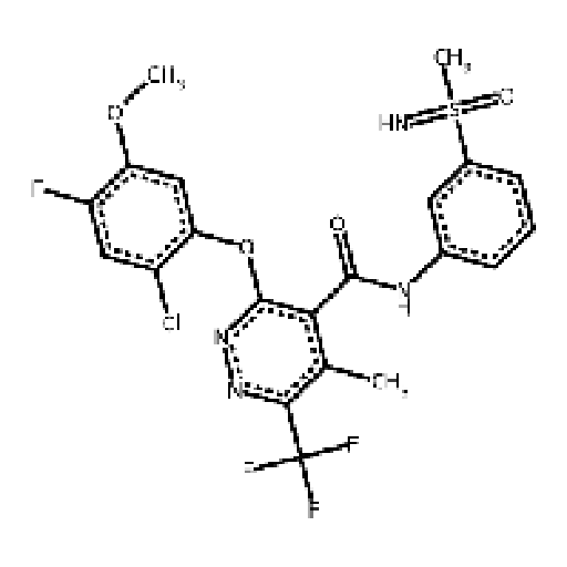 COc1cc(Oc2nnc(C(F)(F)F)c(C)c2C(=O)Nc2cccc(S(C)(=N)=O)c2)c(Cl)cc1F